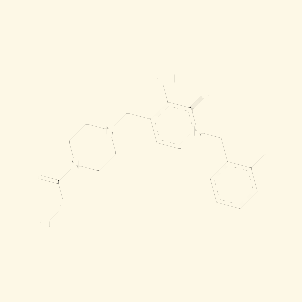 CC(C)(C)OC(=O)N1CCN(Cc2ccn(Cc3ccccc3F)c(=O)c2O)CC1